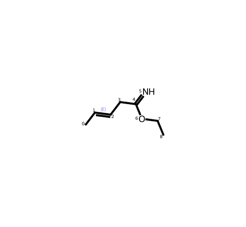 C/C=C/CC(=N)OCC